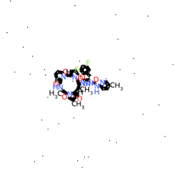 Cc1ccc(NC(=O)N[C@@H](Cc2cc(F)cc(F)c2)C(=O)N[C@@H]2C(=O)N3CCC[C@H]3C(=O)N3CCCC[C@H]3C(=O)N[C@@H](C)C(=O)N3C[C@H](C)C[C@@]34C(=O)[C@@H]4[C@H]2C)nc1